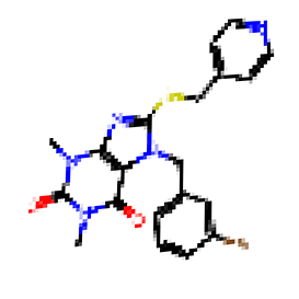 Cn1c(=O)c2c(nc(SCc3ccncc3)n2Cc2cccc(Br)c2)n(C)c1=O